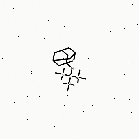 C[Si](C)(C)[Si](NC12CC3CC(CC(C3)C1)C2)([Si](C)(C)C)[Si](C)(C)C